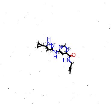 C#CCNC(=O)c1cc(Nc2cc(C3CC3)[nH]n2)ncn1